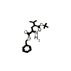 CC(C)C(CC(N)C(=O)OCc1ccccc1)C(=O)OC(C)(C)C